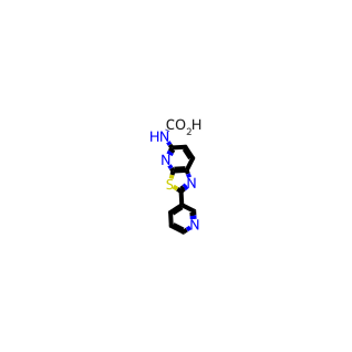 O=C(O)Nc1ccc2nc(-c3cccnc3)sc2n1